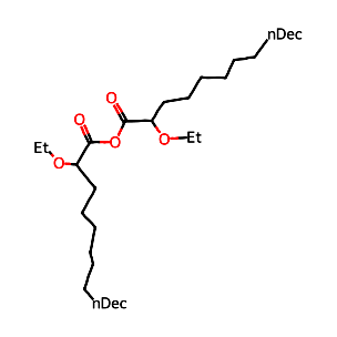 CCCCCCCCCCCCCCCCC(OCC)C(=O)OC(=O)C(CCCCCCCCCCCCCCCC)OCC